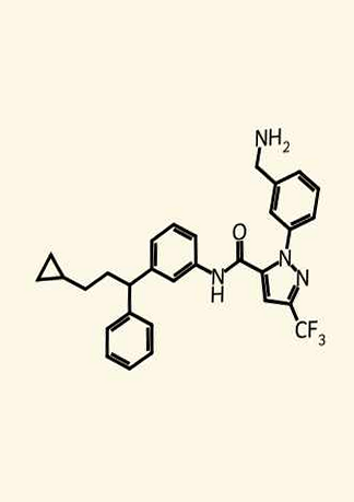 NCc1cccc(-n2nc(C(F)(F)F)cc2C(=O)Nc2cccc(C(CCC3CC3)c3ccccc3)c2)c1